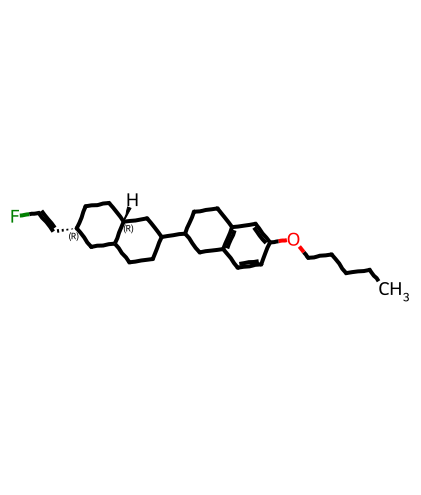 CCCCCOc1ccc2c(c1)CCC(C1CCC3C[C@H](C=CF)CC[C@@H]3C1)C2